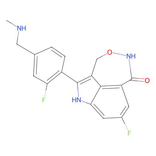 CNCc1ccc(-c2[nH]c3cc(F)cc4c3c2CONC4=O)c(F)c1